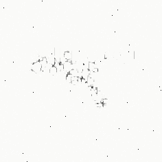 O=C(O)CCc1cnc([C@@H]2C[C@H](N3CCC(F)(F)CC3)CN2C(=O)Cc2cc(Cl)c(NC(=O)c3csc4ccccc34)cc2Cl)s1